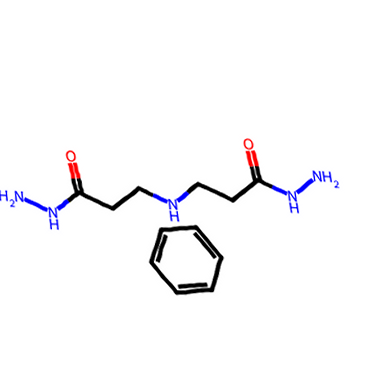 NNC(=O)CCNCCC(=O)NN.c1ccccc1